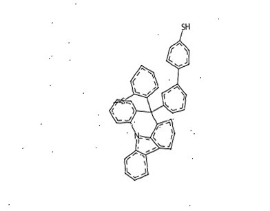 CSc1ccccc1C1(c2cccc(-c3ccc(S)cc3)c2)c2ccccc2-n2c3ccccc3c3cccc1c32